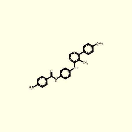 COc1ccc(-c2ncnc(Nc3ccc(NC(=O)c4ccc(N)cc4)cc3)c2C)cc1